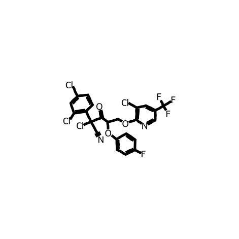 N#CC(Cl)(C(=O)C(COc1ncc(C(F)(F)F)cc1Cl)Oc1ccc(F)cc1)c1ccc(Cl)cc1Cl